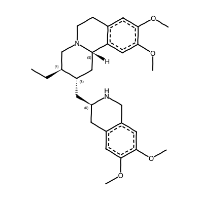 CC[C@H]1CN2CCc3cc(OC)c(OC)cc3[C@@H]2C[C@@H]1C[C@@H]1Cc2cc(OC)c(OC)cc2CN1